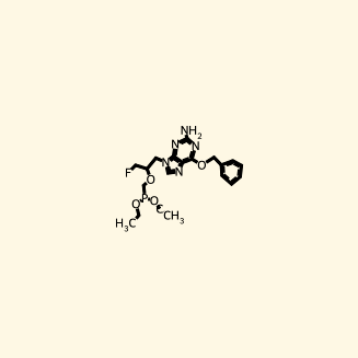 CCOP(COC(CF)Cn1cnc2c(OCc3ccccc3)nc(N)nc21)OCC